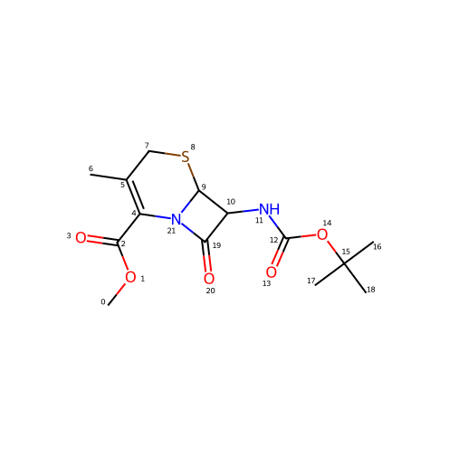 COC(=O)C1=C(C)CSC2C(NC(=O)OC(C)(C)C)C(=O)N12